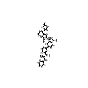 Cc1cn(-c2ccnc3[nH]c(-c4n[nH]c5ccc(-c6cncc(NC(=O)Cc7ccccc7)c6)cc45)cc23)cn1